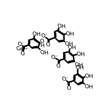 O=C([O-])c1cc(O)c(O)c(O)c1.O=C([O-])c1cc(O)c(O)c(O)c1.O=C([O-])c1cc(O)c(O)c(O)c1.O=C([O-])c1cc(O)c(O)c(O)c1.[Ge+4]